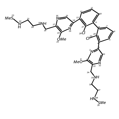 COc1nc(-c2cccc(-c3cccc(-c4cnc(CNCCNSC)c(OC)n4)c3Cl)c2Cl)cnc1CNCCNSC